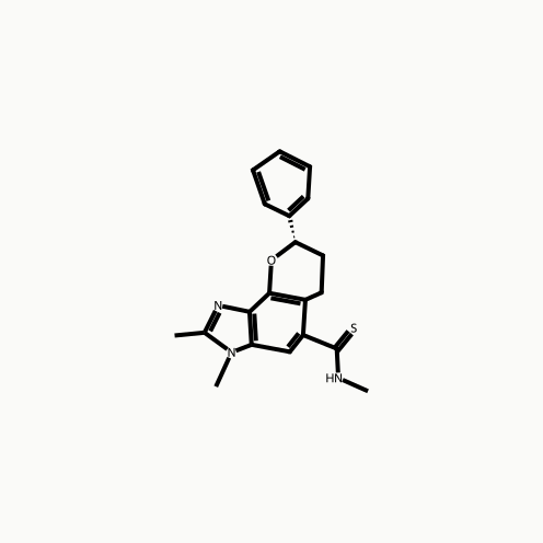 CNC(=S)c1cc2c(nc(C)n2C)c2c1CC[C@@H](c1ccccc1)O2